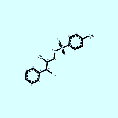 Cc1ccc(S(=O)(=O)OCC(O)C(F)c2ccccc2)cc1